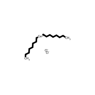 CCCCCCC[CH2][Ge+2][CH2]CCCCCCC.[Cl-].[Cl-]